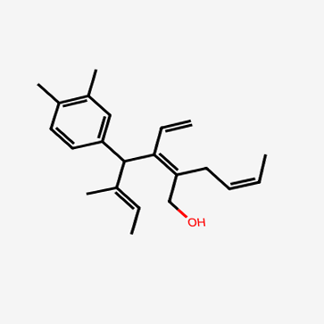 C=C/C(=C(/CO)C/C=C\C)C(/C(C)=C/C)c1ccc(C)c(C)c1